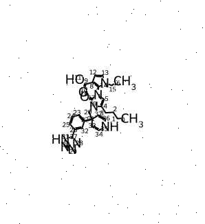 CCCCc1cn(-c2c(C(=O)O)ccn2CC)c(=O)n1CC1(c2cccc(-c3nnn[nH]3)c2)C=CNC=C1